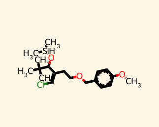 COc1ccc(COCCC(=CCl)C(O[SiH](C)C)C(C)(C)C)cc1